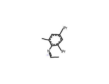 C/C=N\c1c(C)cc(C(C)C)cc1C(C)C